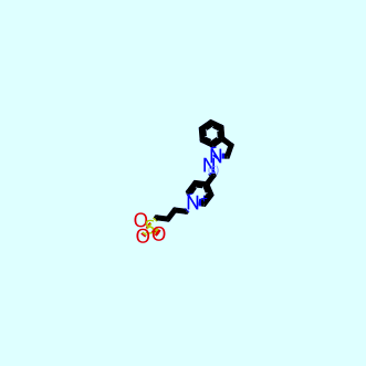 O=S(=O)([O-])CCCC[n+]1ccc(/C=N/N2CCc3ccccc32)cc1